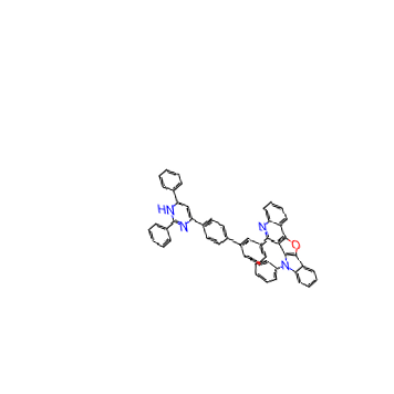 C1=C(c2ccc(-c3cccc(-c4nc5ccccc5c5oc6c7ccccc7n(-c7ccccc7)c6c45)c3)cc2)N=C(c2ccccc2)NC1c1ccccc1